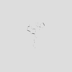 CC1(NC2CC(NCCCN)=Nc3ccnn32)CC=CC1